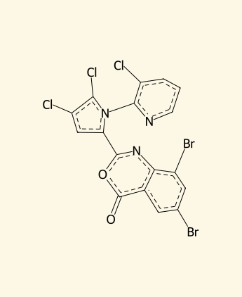 O=c1oc(-c2cc(Cl)c(Cl)n2-c2ncccc2Cl)nc2c(Br)cc(Br)cc12